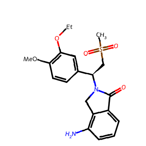 CCOc1cc([C@@H](CS(C)(=O)=O)N2Cc3c(N)cccc3C2=O)ccc1OC